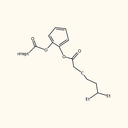 CCCCCCCC(=O)Oc1ccccc1OC(=O)CCCCC(CC)CC